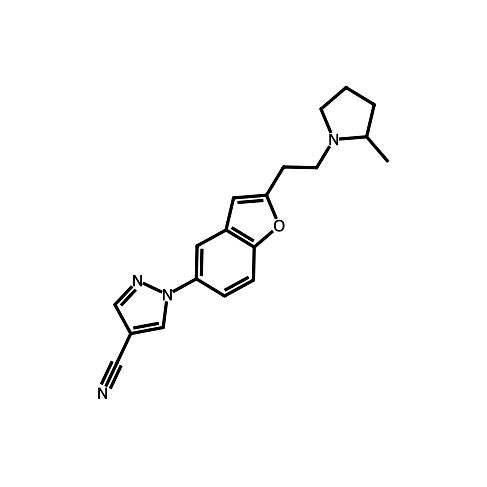 CC1CCCN1CCc1cc2cc(-n3cc(C#N)cn3)ccc2o1